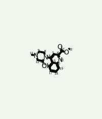 COC(=O)c1cc(N2CCN(C)CC2O)c2ccccc2n1